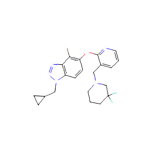 FC1(F)CCCN(Cc2cccnc2Oc2ccc3c(nnn3CC3CC3)c2Br)C1